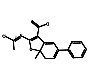 C=C(Cl)C1=C(/N=C(\C)Cl)OC2(C)CC=C(c3ccccc3)C=C12